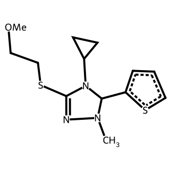 COCCSC1=NN(C)C(c2cccs2)N1C1CC1